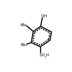 CC(C)(C)c1c(O)ccc(S(=O)(=O)O)c1C(C)(C)C